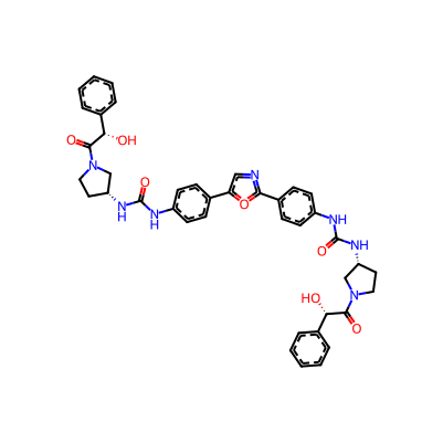 O=C(Nc1ccc(-c2cnc(-c3ccc(NC(=O)N[C@@H]4CCN(C(=O)[C@@H](O)c5ccccc5)C4)cc3)o2)cc1)N[C@@H]1CCN(C(=O)[C@@H](O)c2ccccc2)C1